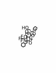 CO/C(=N\[C@@](C)(CC1CCCCC1)C(=O)N(C)C(C(=O)N[C@@H](CC(=O)O)C(=O)N1CCCC1)C(C)C)C(F)(F)F